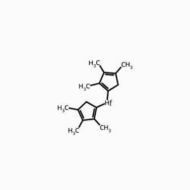 CC1=C(C)C(C)=[C]([Hf][C]2=C(C)C(C)=C(C)C2)C1